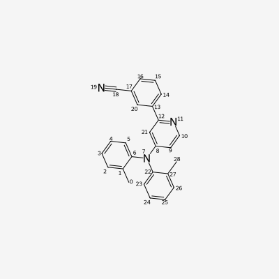 Cc1ccccc1N(c1ccnc(-c2cccc(C#N)c2)c1)c1ccccc1C